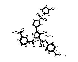 COc1c(C2CCN(S(=O)(=O)N3CCC(O)C3)C2)nn(C(=O)c2cccc(C(=O)O)c2)c1N(C)Cc1ccc(CN)cc1